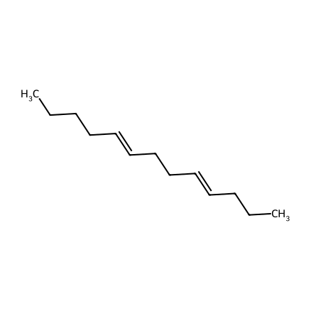 CCC/C=C/CC/C=C/CCCC